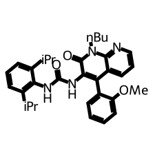 CCCCn1c(=O)c(NC(=O)Nc2c(C(C)C)cccc2C(C)C)c(-c2ccccc2OC)c2cccnc21